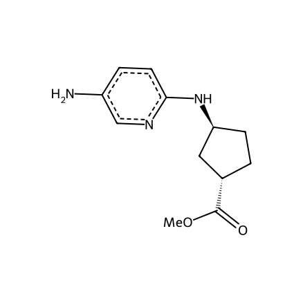 COC(=O)[C@H]1CC[C@H](Nc2ccc(N)cn2)C1